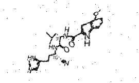 COc1cccc2[nH]c(C(=O)N[C@@H](CC(C)C)C(=O)N[C@H](C#N)CCc3cnc[nH]3)cc12